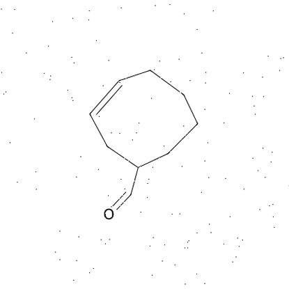 O=CC1CC=CCCCC1